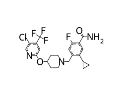 NC(=O)c1cc(C2CC2)c(CN2CCC(Oc3cc(C(F)(F)F)c(Cl)cn3)CC2)cc1F